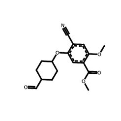 COC(=O)c1cc(OC2CCC(C=O)CC2)c(C#N)cc1OC